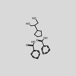 O=C(O)c1ccccc1.O=C(O)c1ccccc1.OCC(CO)C1CCCC1